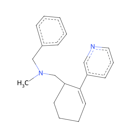 CN(Cc1ccccc1)CC1CCCC=C1c1cccnc1